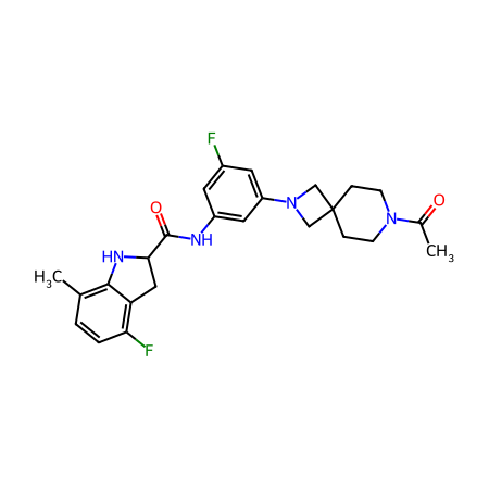 CC(=O)N1CCC2(CC1)CN(c1cc(F)cc(NC(=O)C3Cc4c(F)ccc(C)c4N3)c1)C2